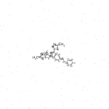 Cc1nnc(-c2nn(Cc3sc(C)nc3C)c3ccc(SCc4ccccc4)cc23)s1